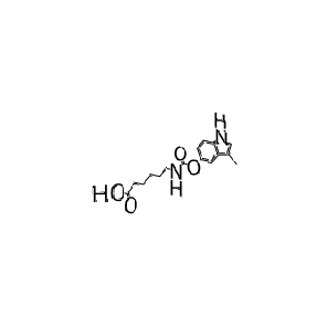 Cc1c[nH]c2ccc(OC(=O)NCCCCCC(=O)O)cc12